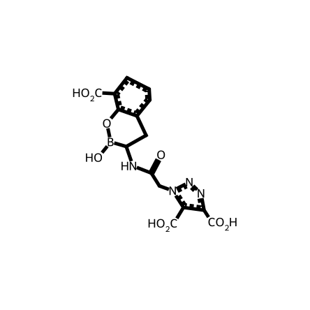 O=C(Cn1nnc(C(=O)O)c1C(=O)O)NC1Cc2cccc(C(=O)O)c2OB1O